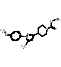 CC(C)(C)OC(=O)N1CCC(c2cc(C(F)(F)F)n(-c3ccc(OC(F)(F)F)cc3)n2)CC1